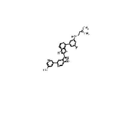 CN(C)CCNc1cc(F)cc(-c2cccc3[nH]c(-c4n[nH]c5cnc(-c6cncc(O)c6)cc45)nc23)c1